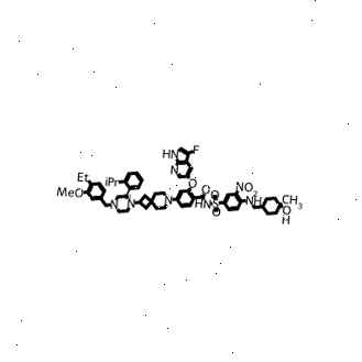 CCc1ccc(CN2CCN(C3CC4(CCN(c5ccc(C(=O)NS(=O)(=O)c6ccc(NCC7CCC(C)(O)CC7)c([N+](=O)[O-])c6)c(Oc6cnc7[nH]cc(F)c7c6)c5)CC4)C3)[C@H](c3ccccc3C(C)C)C2)cc1OC